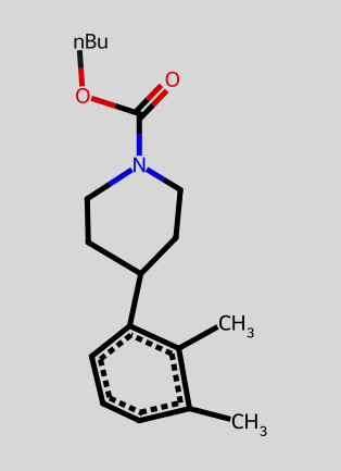 CCCCOC(=O)N1CCC(c2cccc(C)c2C)CC1